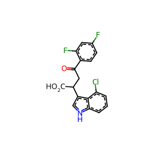 O=C(CC(C(=O)O)c1c[nH]c2cccc(Cl)c12)c1ccc(F)cc1F